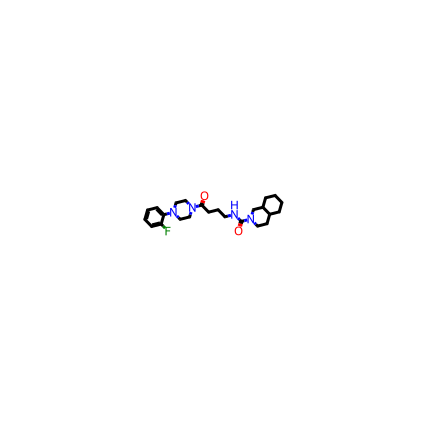 O=C(CCCNC(=O)N1CCC2CCCCC2C1)N1CCN(c2ccccc2F)CC1